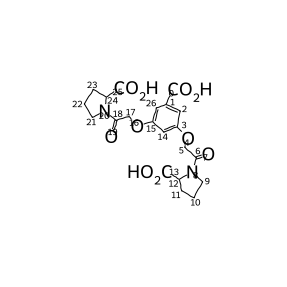 O=C(O)c1cc(OCC(=O)N2CCCC2C(=O)O)cc(OCC(=O)N2CCCC2C(=O)O)c1